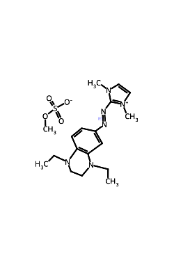 CCN1CCN(CC)c2cc(/N=N/c3n(C)cc[n+]3C)ccc21.COS(=O)(=O)[O-]